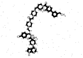 CCc1cccc(-c2cnc(C(=O)N3CCC(CN4CCN(CC(=O)N5CCN(CC[C@H](NC(=O)C6(N)CCN(c7ncnc8[nH]ccc78)CC6)c6ccc(Cl)cc6)CC5)CC4)CC3)c(N)c2)c1